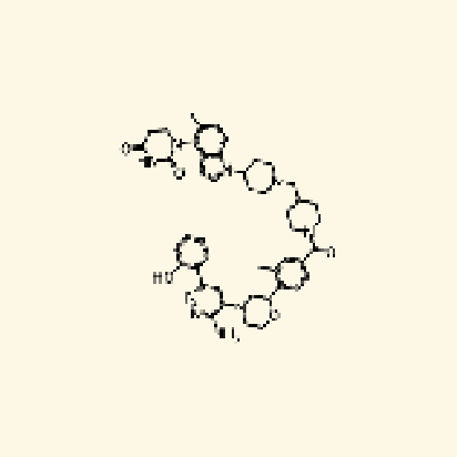 Cc1cc(C(=O)N2CCC(CN3CCC(n4ccc5c(N6CCC(=O)NC6=O)c(C)ccc54)CC3)CC2)ccc1[C@@H]1CN(c2cc(-c3ccccc3O)nnc2N)CCO1